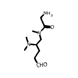 CN(CC(CCC=O)N(C)C)C(=O)CN